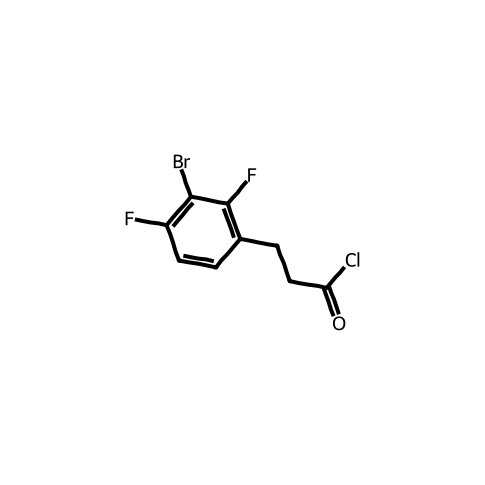 O=C(Cl)CCc1ccc(F)c(Br)c1F